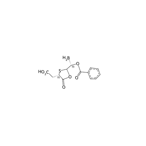 B[C@H](OC(=O)c1ccccc1)C1OC(=O)[C@H](CC(=O)O)S1